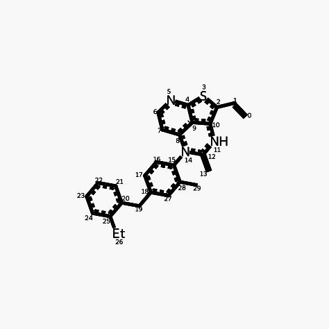 C=Cc1sc2nccc3c2c1[nH]c(=C)n3-c1ccc(Cc2ccccc2CC)cc1C